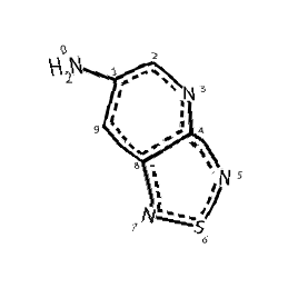 Nc1cnc2nsnc2c1